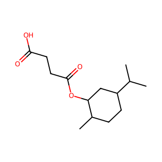 CC(C)C1CCC(C)C(OC(=O)CCC(=O)O)C1